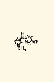 CN1CC2CCC1C(Nc1ncc(C(F)(F)F)cn1)C2